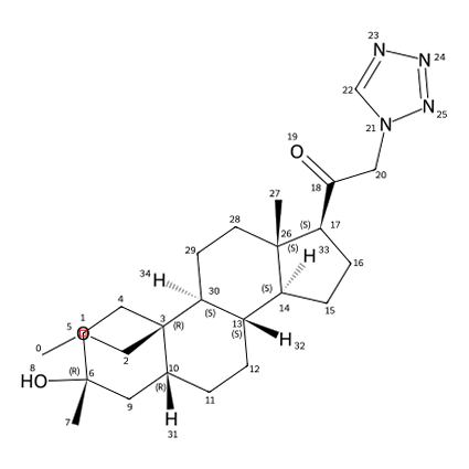 COC[C@]12CC[C@@](C)(O)C[C@H]1CC[C@H]1[C@@H]3CC[C@H](C(=O)Cn4cnnn4)[C@@]3(C)CC[C@@H]12